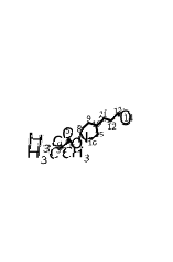 CC(C)(C)C(=O)ON1CCC(CCC=O)CC1